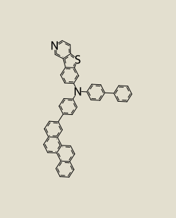 c1ccc(-c2ccc(N(c3ccc(-c4ccc5ccc6c7ccccc7ccc6c5c4)cc3)c3ccc4c(c3)sc3ccncc34)cc2)cc1